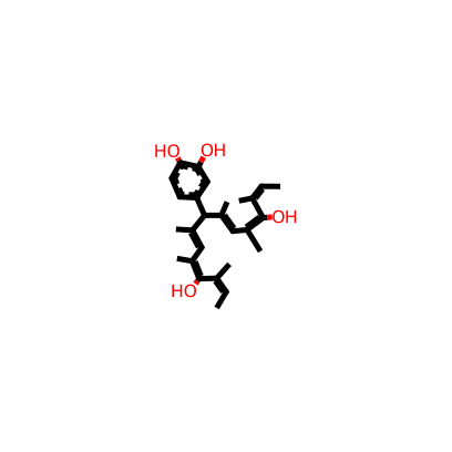 C\C=C(C)/C(O)=C(C)\C=C(/C)C(/C(C)=C/C(C)=C(O)\C(C)=C/C)c1ccc(O)c(O)c1